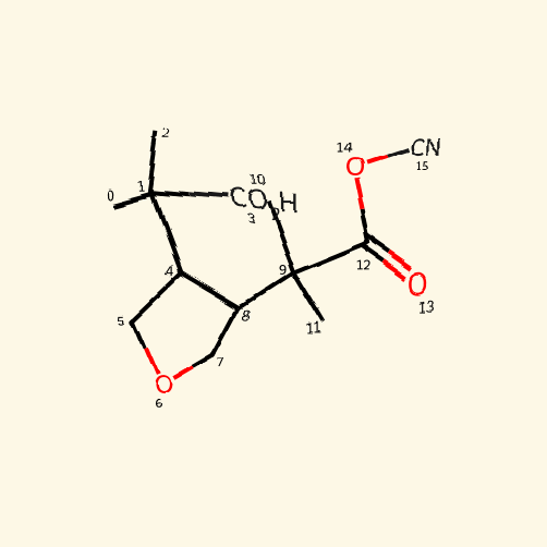 CC(C)(C(=O)O)C1COCC1C(C)(C)C(=O)OC#N